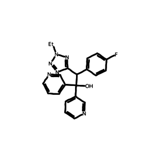 CCn1nnc(C(c2ccc(F)cc2)C(O)(c2cccnc2)c2cccnc2)n1